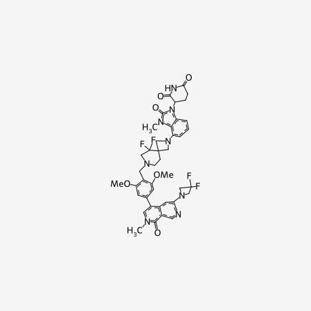 COc1cc(-c2cn(C)c(=O)c3cnc(N4CC(F)(F)C4)cc23)cc(OC)c1CN1CCC2(CN(c3cccc4c3n(C)c(=O)n4C3CCC(=O)NC3=O)C2)C(F)(F)C1